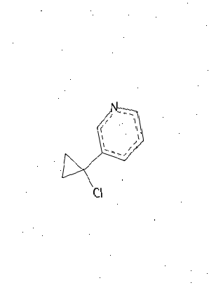 ClC1(c2cccnc2)CC1